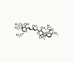 CC[C@@H]1CC(C)(OC)[C@H](O)C(/C=C/C(C)=C/CC2OC(C)C(NC(=O)/C=C\C(C)OC(C)=O)CC2C)O1